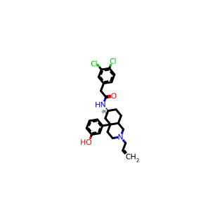 C=CCN1CCC2(c3cccc(O)c3)C[C@H](NC(=O)Cc3ccc(Cl)c(Cl)c3)CCC2C1